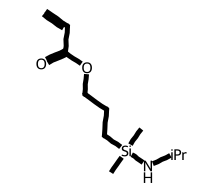 C=CC(=O)OCCC[Si](C)(C)NC(C)C